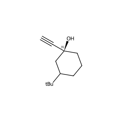 C#C[C@]1(O)CCCC(C(C)(C)C)C1